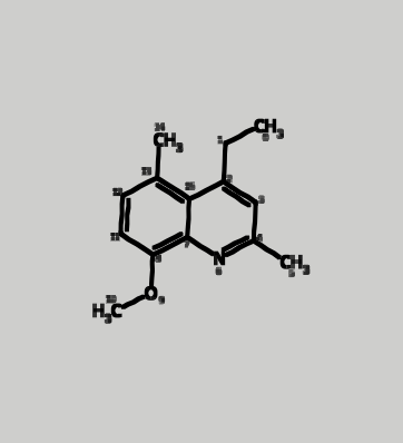 CCc1cc(C)nc2c(OC)ccc(C)c12